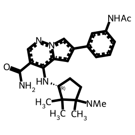 CNC1(C)CC[C@@H](Nc2c(C(N)=O)cnn3cc(-c4cccc(NC(C)=O)c4)cc23)C1(C)C